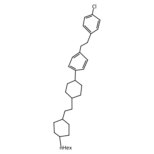 CCCCCCC1CCC(CCC2CCC(c3ccc(CCc4ccc(Cl)cc4)cc3)CC2)CC1